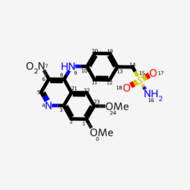 COc1cc2ncc([N+](=O)[O-])c(Nc3ccc(CS(N)(=O)=O)cc3)c2cc1OC